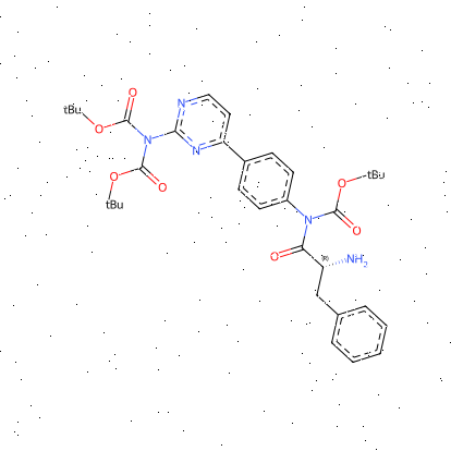 CC(C)(C)OC(=O)N(C(=O)[C@H](N)Cc1ccccc1)c1ccc(-c2ccnc(N(C(=O)OC(C)(C)C)C(=O)OC(C)(C)C)n2)cc1